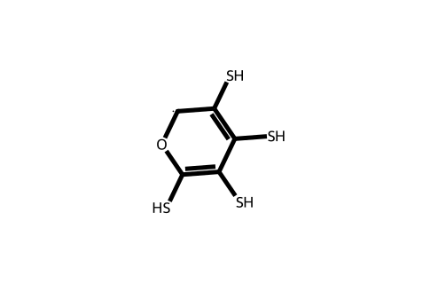 SC1=C(S)C(S)=C(S)O[CH]1